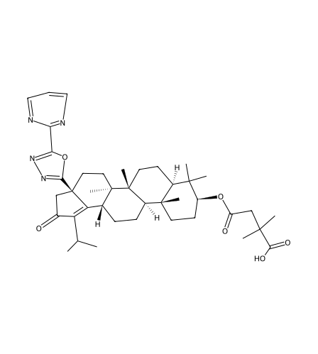 CC(C)C1=C2[C@H]3CC[C@@H]4[C@@]5(C)CC[C@H](OC(=O)CC(C)(C)C(=O)O)C(C)(C)[C@@H]5CC[C@@]4(C)[C@]3(C)CC[C@@]2(c2nnc(-c3ncccn3)o2)CC1=O